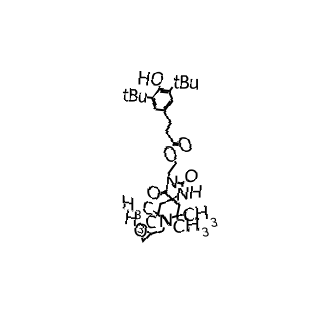 CC(C)(C)c1cc(CCC(=O)OCCN2C(=O)NC3(CC(C)(C)N(CC4CO4)C(C)(C)C3)C2=O)cc(C(C)(C)C)c1O